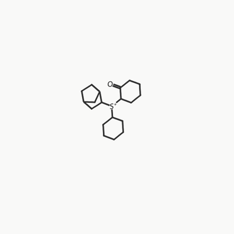 O=C1CCCCC1[S+](C1CCCCC1)C1CC2CCC1C2